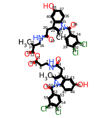 Cc1c(CC(=O)NCCC(=O)OC(=O)C(C)CNC(=O)Cc2c(C)n(C(=O)c3ccc(Cl)c(Cl)c3)c3ccc(O)cc23)c2cc(O)ccc2n1C(=O)c1ccc(Cl)c(Cl)c1